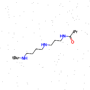 CC(C)C(=O)NCCCNCCCCNC(C)(C)C